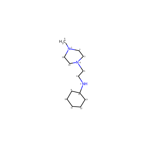 CN1CCN(CCNC2CCCCC2)CC1